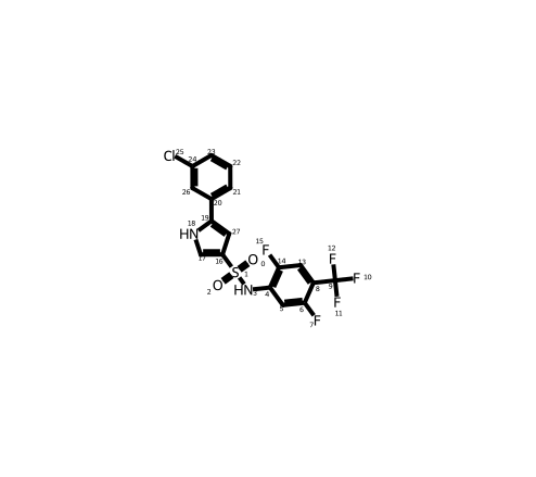 O=S(=O)(Nc1cc(F)c(C(F)(F)F)cc1F)c1c[nH]c(-c2cccc(Cl)c2)c1